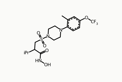 Cc1cc(OC(F)(F)F)ccc1N1CCN(S(=O)(=O)CC(C(=O)NO)C(C)C)CC1